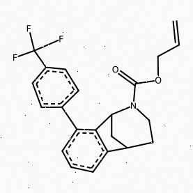 C=CCOC(=O)N1CCC2CC1c1c(-c3ccc(C(F)(F)F)cc3)cccc12